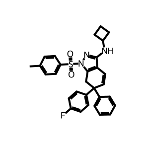 Cc1ccc(S(=O)(=O)n2nc(NC3CCC3)c3c2CC(c2ccccc2)(c2ccc(F)cc2)C=C3)cc1